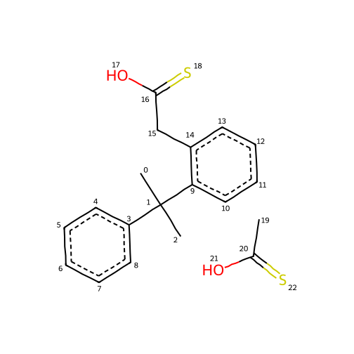 CC(C)(c1ccccc1)c1ccccc1CC(O)=S.CC(O)=S